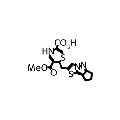 COC(=O)C1=CNC(C(=O)O)=CSC1Cc1cn2nc3c(c2s1)CCC3